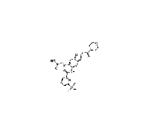 O=C(O)COc1cc2nn(CC(=O)N3CCOCC3)cc2cc1NC(=O)c1cccc(C(F)(F)F)n1